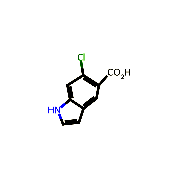 O=C(O)c1cc2cc[nH]c2cc1Cl